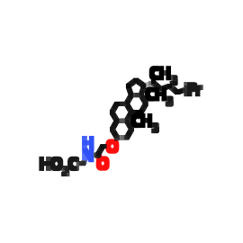 CC(C)CCCC(C)[C@H]1CCC2C3CCC4C[C@@H](OCC(=O)NCC(=O)O)CC[C@]4(C)C3CC[C@@]21C